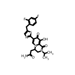 CC(C)N1CC(CC(N)=O)n2cc(-c3ncc(Cc4ccc(F)cc4F)s3)c(=O)c(O)c2C1=O